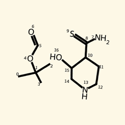 CC(C)(C)OC=O.NC(=S)C1CCNCC1O